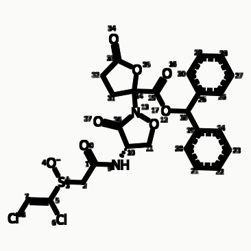 O=C(C[S+]([O-])C(Cl)=CCl)N[C@H]1CON(C2(C(=O)OC(c3ccccc3)c3ccccc3)CCC(=O)O2)C1=O